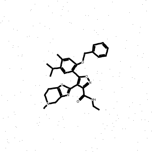 CCNC(=O)c1noc(-c2cc(C(C)C)c(C)cc2OCc2ccccc2)c1-c1nc2c(s1)CCN(C)C2